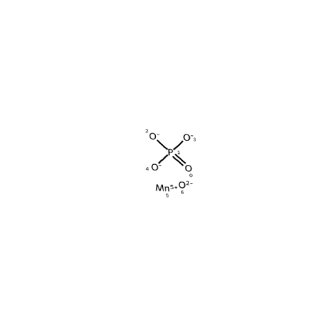 O=P([O-])([O-])[O-].[Mn+5].[O-2]